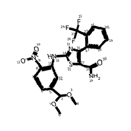 COC(OC)c1ccc([N+](=O)[O-])c(Nc2nc(-c3ccccc3C(F)(F)F)c(C(N)=O)s2)c1